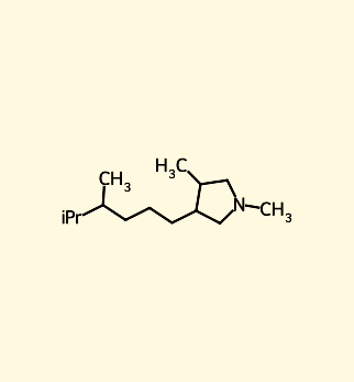 CC(C)C(C)CCCC1CN(C)CC1C